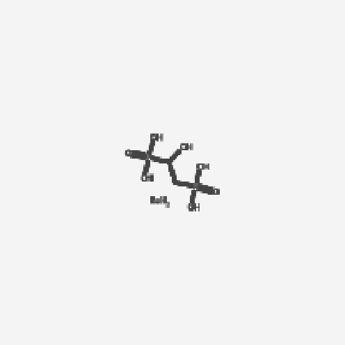 O=P(O)(O)CC(O)P(=O)(O)O.[BaH2]